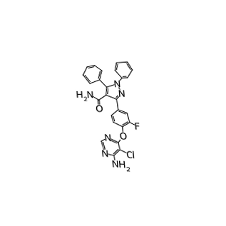 NC(=O)c1c(-c2ccc(Oc3ncnc(N)c3Cl)c(F)c2)nn(-c2ccccc2)c1-c1ccccc1